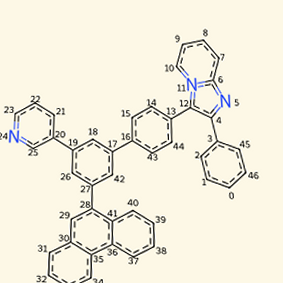 c1ccc(-c2nc3ccccn3c2-c2ccc(-c3cc(-c4cccnc4)cc(-c4cc5ccccc5c5ccccc45)c3)cc2)cc1